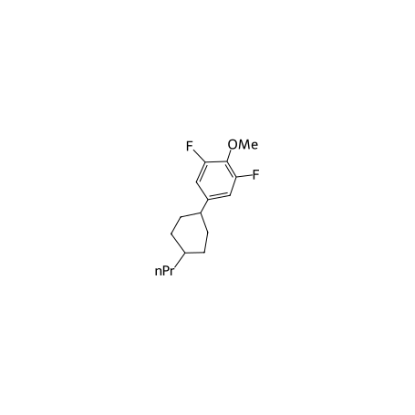 CCCC1CCC(c2cc(F)c(OC)c(F)c2)CC1